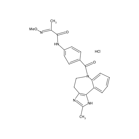 CON=C(C)C(=O)Nc1ccc(C(=O)N2CCc3nc(C)[nH]c3-c3ccccc32)cc1.Cl